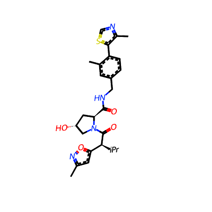 Cc1cc([C@@H](C(=O)N2C[C@H](O)C[C@H]2C(=O)NCc2ccc(-c3scnc3C)c(C)c2)C(C)C)on1